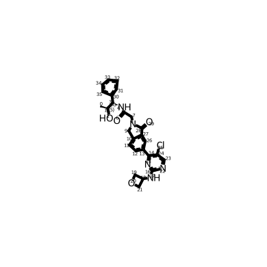 C[C@H](O)[C@@H](NC(=O)CN1Cc2ccc(-c3nc(NC4COC4)ncc3Cl)cc2C1=O)c1ccccc1